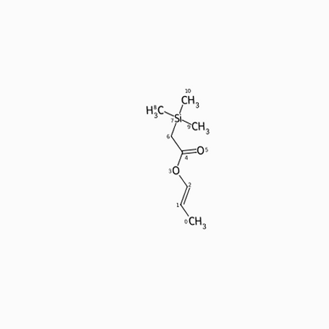 CC=COC(=O)C[Si](C)(C)C